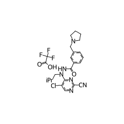 CC(C)CN(NC(=O)c1cccc(CN2CCCC2)c1)c1nc(C#N)ncc1Cl.O=C(O)C(F)(F)F